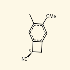 COc1cc2c(cc1C)[C@H](C#N)C2